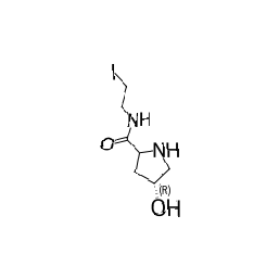 O=C(NCCI)C1C[C@@H](O)CN1